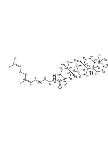 CC(C)=CCCC(C)=CCSCCNC(=O)C1(C)CC[C@]2(C)CC[C@]3(C)C(=CC[C@@H]4[C@@]5(C)CC[C@H](O)C(C)(C)C5CC[C@]43C)[C@@H]2C1